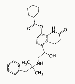 CC(C)(Cc1ccccc1)NCC(O)c1ccc(OC(=O)C2CCCCC2)c2c1CCC(=O)N2